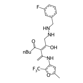 C=C(Nc1cc(C)oc1C(F)(F)F)/C(C(=O)CCCC)=C(\O)CNNCc1cccc(F)c1